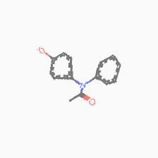 CC(=O)N(c1ccccc1)c1ccc([O])cc1